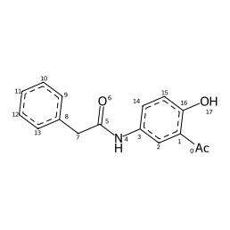 CC(=O)c1cc(NC(=O)Cc2ccccc2)ccc1O